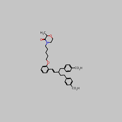 CC1OCCN(CCCCCOc2ccccc2C=CC(CCc2ccc(C(=O)O)cc2)Cc2ccc(C(=O)O)cc2)C1=O